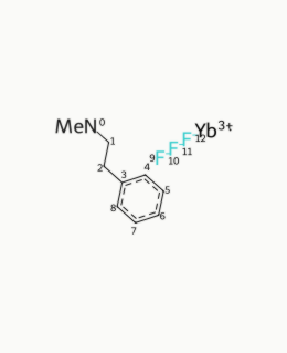 CNCCc1ccccc1.[F-].[F-].[F-].[Yb+3]